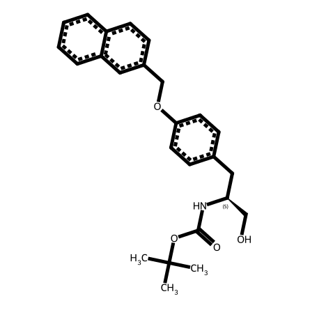 CC(C)(C)OC(=O)N[C@H](CO)Cc1ccc(OCc2ccc3ccccc3c2)cc1